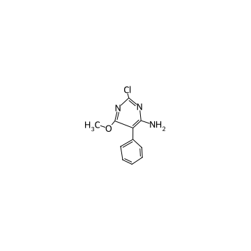 COc1nc(Cl)nc(N)c1-c1ccccc1